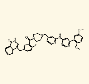 COc1ccc(OC)c(-c2cc(Nc3cc(CN4CCN(C(=O)c5cc(Cc6n[nH]c(=O)c7ccccc67)ccc5F)CC4)ccn3)ncn2)c1